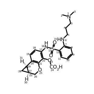 CN(C)CCCNc1ccccc1S(=O)(=O)Nc1ccc2c(c1OC(=O)O)OC[C@H]1C[C@@H]21